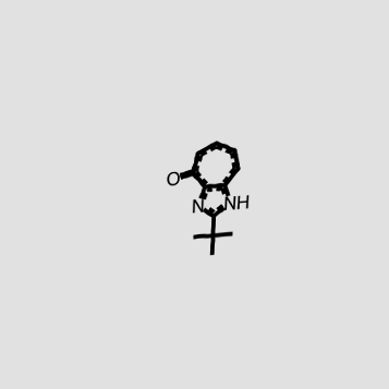 CC(C)(C)c1nc2c(=O)ccccc2[nH]1